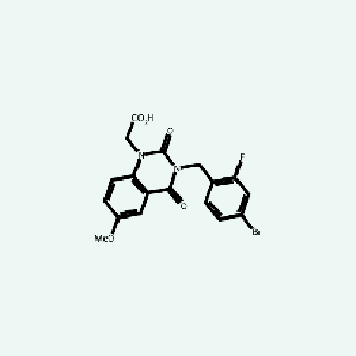 COc1ccc2c(c1)c(=O)n(Cc1ccc(Br)cc1F)c(=O)n2CC(=O)O